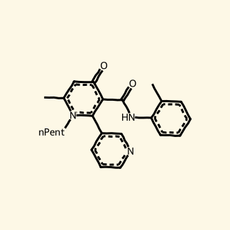 CCCCCn1c(C)cc(=O)c(C(=O)Nc2ccccc2C)c1-c1cccnc1